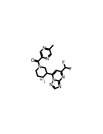 Cc1cnc(C(=O)N2CC[C@@H](C)C(c3cc(C(F)F)nc4ncnn34)C2)cn1